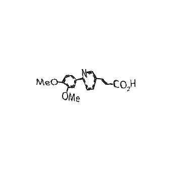 COc1ccc(-c2ccc(C=CC(=O)O)cn2)cc1OC